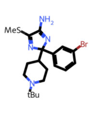 CSC1=NC(c2cccc(Br)c2)(C2CCN(C(C)(C)C)CC2)N=C1N